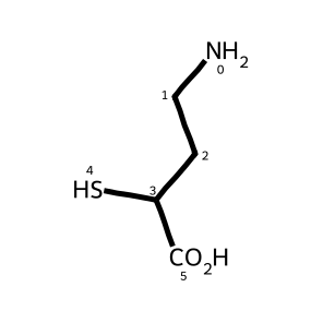 NCCC(S)C(=O)O